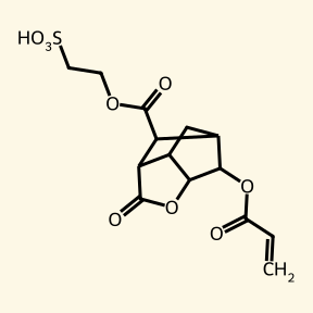 C=CC(=O)OC1C2CC3C1OC(=O)C3C2C(=O)OCCS(=O)(=O)O